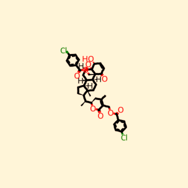 CC1=C(COC(=O)c2ccc(Cl)cc2)C(=O)O[C@@H]([C@@H](C)[C@H]2CC[C@H]3[C@@H]4C[C@H]5O[C@]56[C@@H](O)C=CC(=O)[C@]6(COC(=O)c5ccc(Cl)cc5)[C@H]4CC[C@]23C)C1